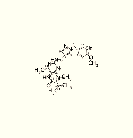 COc1ccc(Cn2cc(CNc3nc(C)c4c(n3)N(C)C(C(C)C)C(=O)N4)cn2)cc1F